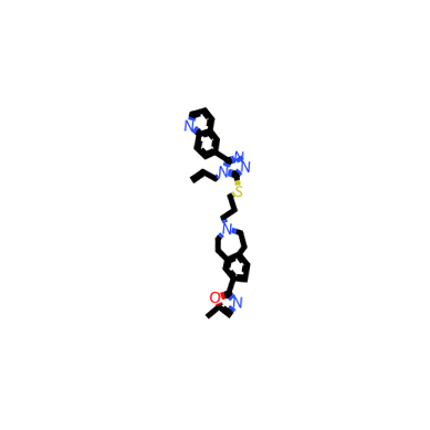 C=CCn1c(SCCCN2CCc3ccc(-c4ncc(C)o4)cc3CC2)nnc1-c1ccc2ncccc2c1